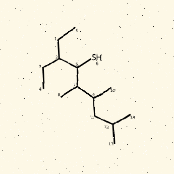 CCC(CC)C(S)C(C)C(C)CC(C)C